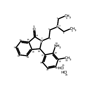 CCN(CC)CCN1C(=O)c2ccccc2C1c1cccc(C)c1N.Cl.Cl